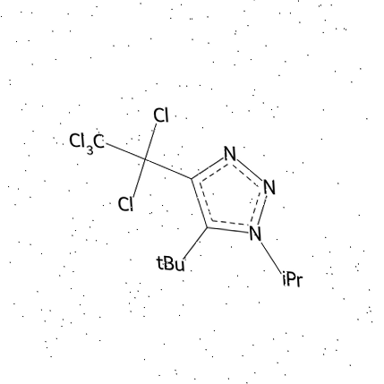 CC(C)n1nnc(C(Cl)(Cl)C(Cl)(Cl)Cl)c1C(C)(C)C